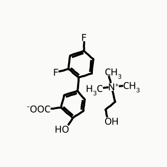 C[N+](C)(C)CCO.O=C([O-])c1cc(-c2ccc(F)cc2F)ccc1O